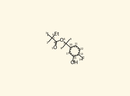 CCC(C)(I)C(=O)OC(C)(C)c1ccc(F)c(O)c1